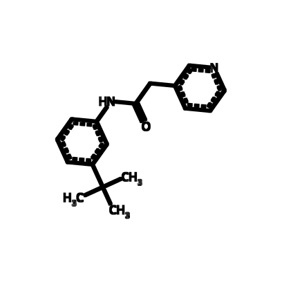 CC(C)(C)c1cccc(NC(=O)Cc2cccnc2)c1